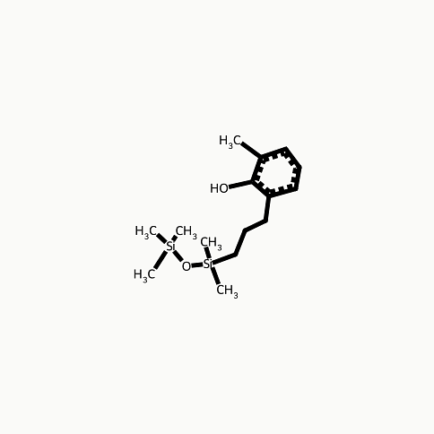 Cc1cccc(CCC[Si](C)(C)O[Si](C)(C)C)c1O